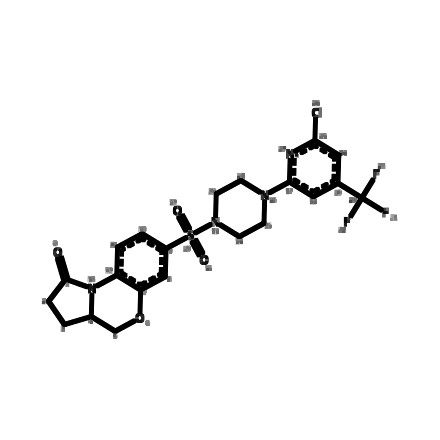 O=C1CCC2COc3cc(S(=O)(=O)N4CCN(c5cc(C(F)(F)F)cc(Cl)n5)CC4)ccc3N12